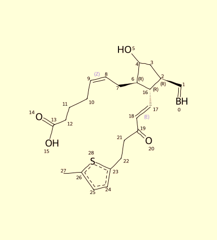 B=C[C@@H]1CC(O)[C@H](C/C=C\CCCC(=O)O)[C@H]1/C=C/C(=O)CCc1ccc(C)s1